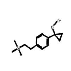 CC(C)OC1(c2ccc(CC[Si](C)(C)C)cc2)CC1